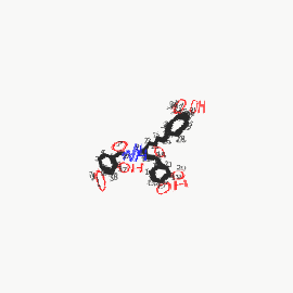 COc1ccc(C(=O)N/N=C(\C=C\c2ccc(O)c(OC)c2)CC(=O)/C=C/c2ccc(O)c(OC)c2)c(O)c1